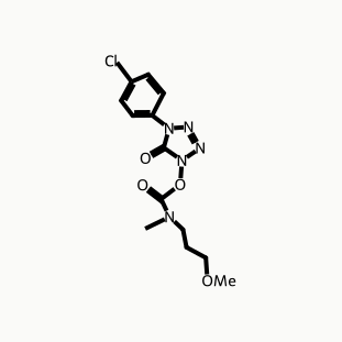 COCCCN(C)C(=O)On1nnn(-c2ccc(Cl)cc2)c1=O